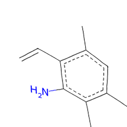 C=Cc1c(C)cc(C)c(C)c1N